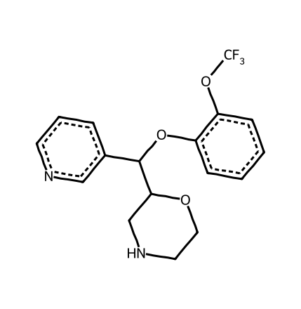 FC(F)(F)Oc1ccccc1OC(c1cccnc1)C1CNCCO1